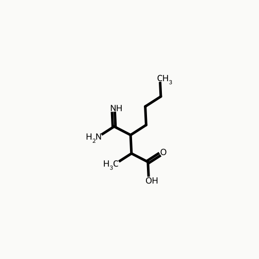 CCCCC(C(=N)N)C(C)C(=O)O